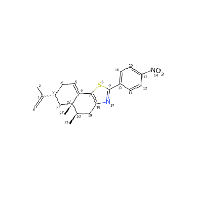 C=C(C)[C@@H]1CC=C2c3sc(-c4ccc([N+](=O)[O-])cc4)nc3C[C@@H](C)[C@]2(C)C1